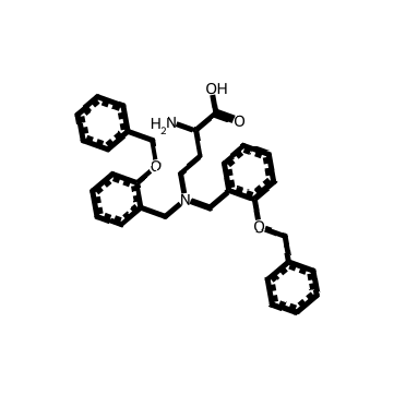 NC(CCN(Cc1ccccc1OCc1ccccc1)Cc1ccccc1OCc1ccccc1)C(=O)O